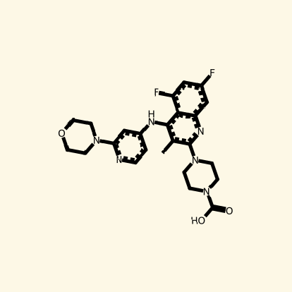 Cc1c(N2CCN(C(=O)O)CC2)nc2cc(F)cc(F)c2c1Nc1ccnc(N2CCOCC2)c1